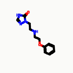 O=c1[nH]cnn1CCNCCOc1ccccc1